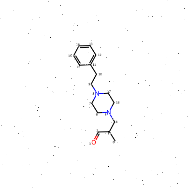 CC(C=O)CN1CCN(CCc2ccccc2)CC1